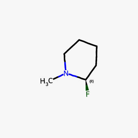 CN1CCCC[C@H]1F